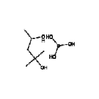 CC(O)CC(C)(C)O.OB(O)O